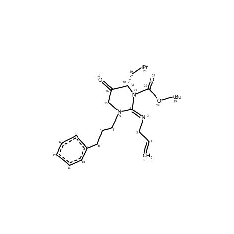 C=CCN=C1N(CCCc2ccccc2)CC(=O)[C@H](CC(C)C)N1C(=O)OC(C)(C)C